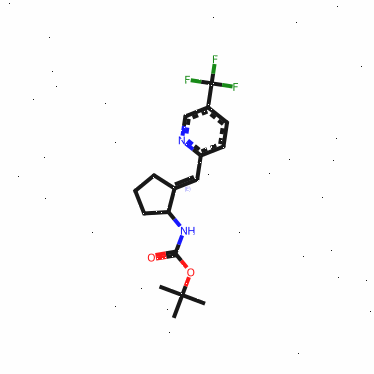 CC(C)(C)OC(=O)NC1CCC/C1=C\c1ccc(C(F)(F)F)cn1